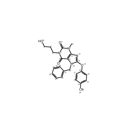 Cn1c(=O)n(CCCO)c(=O)c2c1nc(Oc1ccc(C#N)cc1)n2Cc1ccccc1